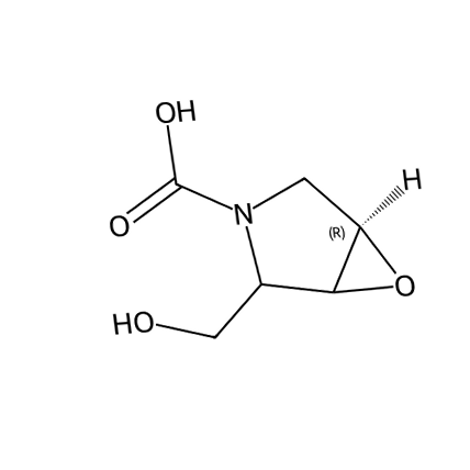 O=C(O)N1C[C@H]2OC2C1CO